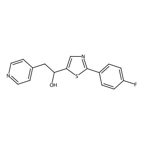 OC(Cc1ccncc1)c1cnc(-c2ccc(F)cc2)s1